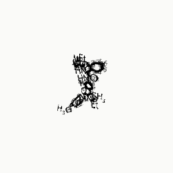 CCC(=O)NC(C(=O)N1CCN(C)CC1)C(C)c1ccc(NC(=O)C(NC(=O)c2ccnn2CC)C2CCCCC2)c(F)c1